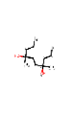 CC(C)CCC(C)(O)CCC(C)(O)CCC(C)C